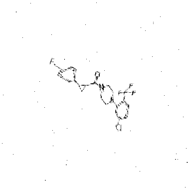 O=C([C@H]1C[C@H]1c1ccc(F)cc1)N1CCN(c2cc(Cl)ccc2C(F)(F)F)CC1